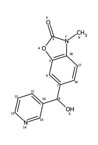 Cn1c(=O)oc2cc(C(O)c3cccnc3)ccc21